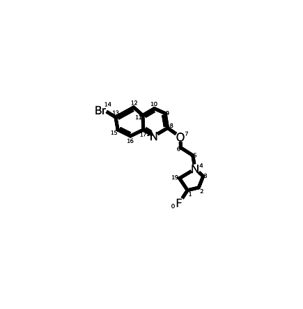 FC1CCN(CCOc2ccc3cc(Br)ccc3n2)C1